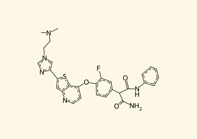 CN(C)CCn1cnc(-c2cc3nccc(Oc4ccc(C(C(N)=O)C(=O)Nc5ccccc5)cc4F)c3s2)c1